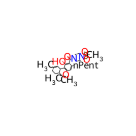 CCCCCc1cc2c(c(O)c1C(=O)N1CCN(S(C)(=O)=O)CC1)C1C=C(C)CCC1C(C)(C)O2